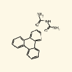 NC(=O)NC(N)=O.c1ccc2c(c1)c1ccccc1c1ccccc21